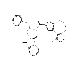 O=C(NC(Cc1ccc(F)c(F)c1)CN1C(=O)c2ccccc2C1=O)c1cc2c(s1)CCCn1ncc(Br)c1-2